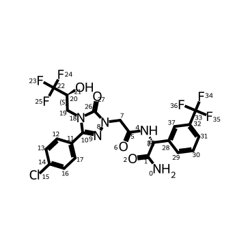 NC(=O)[C@H](NC(=O)Cn1nc(-c2ccc(Cl)cc2)n(C[C@H](O)C(F)(F)F)c1=O)c1cccc(C(F)(F)F)c1